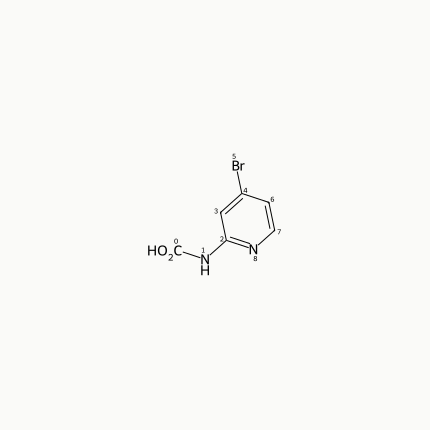 O=C(O)Nc1cc(Br)ccn1